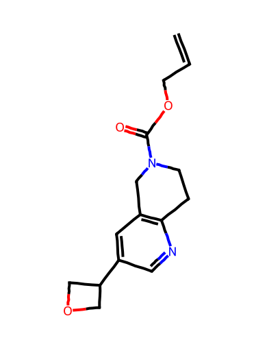 C=CCOC(=O)N1CCc2ncc(C3COC3)cc2C1